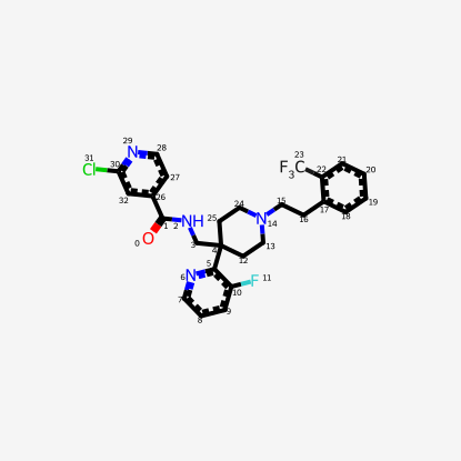 O=C(NCC1(c2ncccc2F)CCN(CCc2ccccc2C(F)(F)F)CC1)c1ccnc(Cl)c1